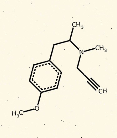 C#CCN(C)C(C)Cc1ccc(OC)cc1